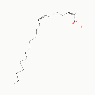 CCCCCCCCCCCC/C=C\CCCC=C(C)C(=O)OC